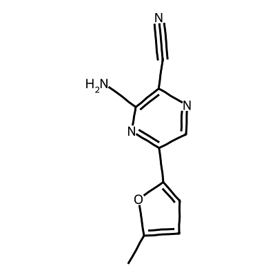 Cc1ccc(-c2cnc(C#N)c(N)n2)o1